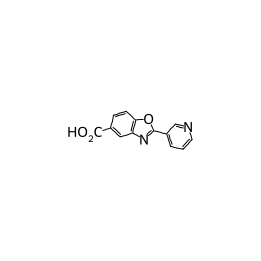 O=C(O)c1ccc2oc(-c3cccnc3)nc2c1